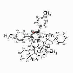 CCCC1(CC2=Cc3c(-c4ccc(C)cc4)cccc3[CH]2[Zr]([Cl])([Cl])([CH]2C(CC3(CCC)CCCCC3)=Cc3c(-c4ccc(C)cc4)cccc32)[SiH](C)C)CCCCC1